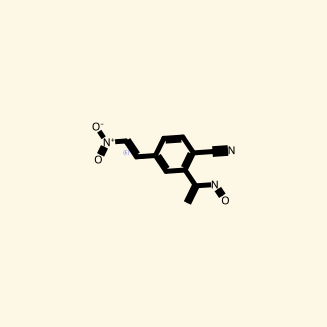 C=C(N=O)c1cc(/C=C/[N+](=O)[O-])ccc1C#N